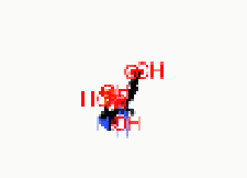 Cc1ncc(COP(=O)(O)O)c(CN[C@@H](C)C(=O)CCCCCC(=O)O)c1O